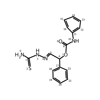 NC(=S)NN=CC(OC(=O)Nc1ccccc1)c1ccccc1